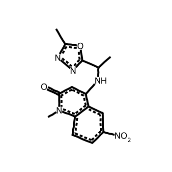 Cc1nnc(C(C)Nc2cc(=O)n(C)c3ccc([N+](=O)[O-])cc23)o1